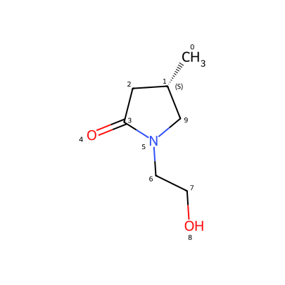 C[C@H]1CC(=O)N(CCO)C1